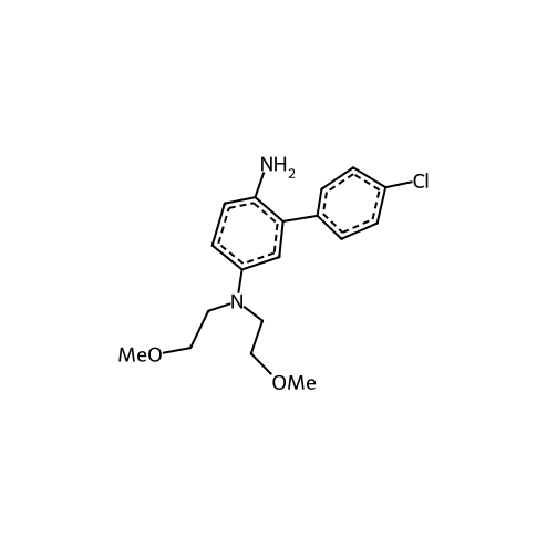 COCCN(CCOC)c1ccc(N)c(-c2ccc(Cl)cc2)c1